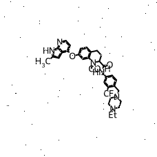 CCN1CCN(Cc2ccc(NC(=O)C3CCc4ccc(Oc5ccnc6[nH]c(C)cc56)cc4N3C(=O)O)cc2C(F)(F)F)CC1